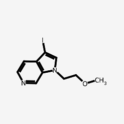 COCCn1cc(I)c2ccncc21